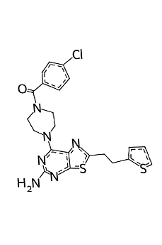 Nc1nc(N2CCN(C(=O)c3ccc(Cl)cc3)CC2)c2nc(CCc3cccs3)sc2n1